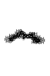 CC1OC(OC2C(O)COC(OC3C(C)OC(OC4C(OC(=O)C56CCC(C)(C)CC5C5=CCC7C8(C)CC(O)C(OC9OC(CO)C(O)C(OC%10OC(CO)C(O)C(O)C%10O)C9O)C(C)(CO)C8C(O)CC7(C)C5(C)CC6)OCC(O)C4O)C(O)C3O)C2O)C(O)C(O)C1O